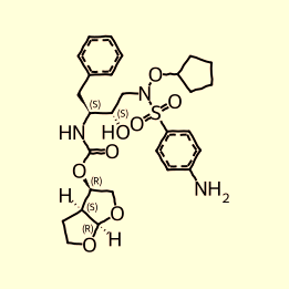 Nc1ccc(S(=O)(=O)N(C[C@H](O)[C@H](Cc2ccccc2)NC(=O)O[C@H]2CO[C@H]3OCC[C@H]32)OC2CCCC2)cc1